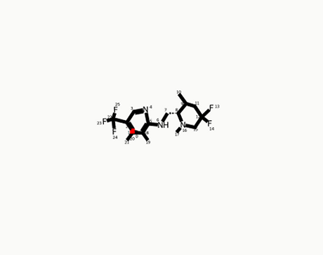 C\C=C(/C=N\C(NC[C@@H]1C(C)CC(F)(F)CN1C)=C(\C)CC)C(F)(F)F